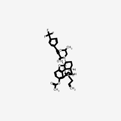 C=CCN1CC[C@@]23c4c5ccc(OC(C)=O)c4C[C@@H]1[C@@H]2CC[C@@H](N(CC(C)C)C(=O)C#Cc1ccc(C(F)(F)F)cc1)[C@@H]3O5